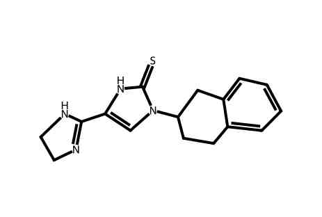 S=c1[nH]c(C2=NCCN2)cn1C1CCc2ccccc2C1